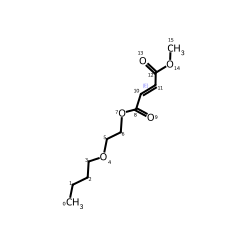 CCCCOCCOC(=O)/C=C/C(=O)OC